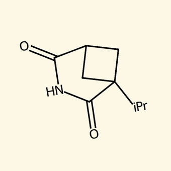 CC(C)C12CC(C1)C(=O)NC2=O